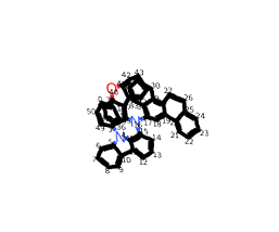 c1ccc(-n2c3ccccc3c3cccc(N(c4cc5c6ccccc6ccc5c5ccccc45)c4cccc5oc6ccccc6c45)c32)cc1